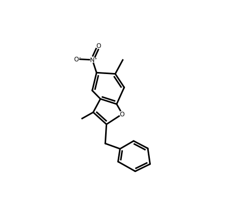 Cc1cc2oc(Cc3ccccc3)c(C)c2cc1[N+](=O)[O-]